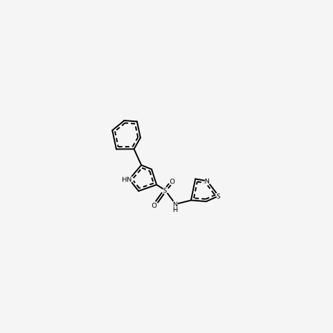 O=S(=O)(Nc1cnsc1)c1c[nH]c(-c2ccccc2)c1